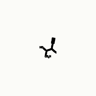 C#CC(I)N(O)C(=O)O